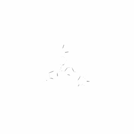 C=CC(=O)NCc1nn(-c2ccc(C(F)(F)F)cc2)c2ccc(Oc3cc(=O)[nH]c(=O)n3C)cc12